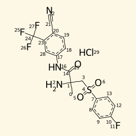 CC(N)(CS(=O)(=O)c1ccc(F)cc1)C(=O)Nc1ccc(C#N)c(C(F)(F)F)c1.Cl